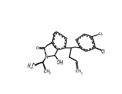 C=CCC(c1ccc(Cl)c(Cl)c1)c1cccc2c1C(O)N(C(C)C)C2=O